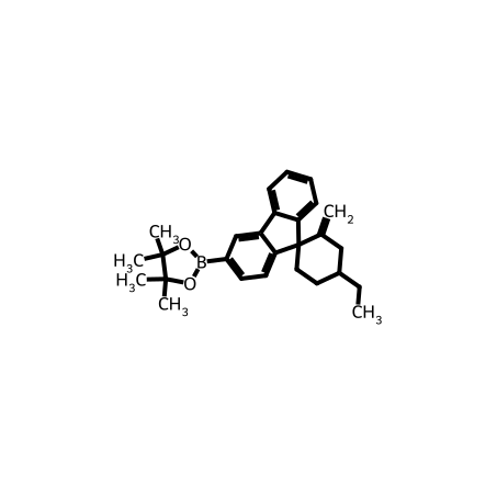 C=C1CC(CC)CCC12c1ccccc1-c1cc(B3OC(C)(C)C(C)(C)O3)ccc12